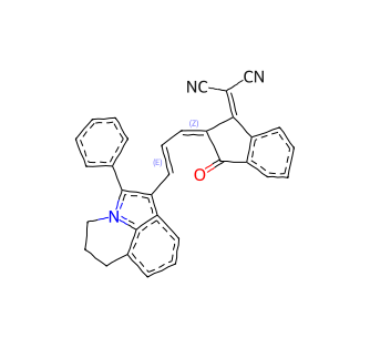 N#CC(C#N)=C1/C(=C/C=C/c2c(-c3ccccc3)n3c4c(cccc24)CCC3)C(=O)c2ccccc21